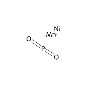 O=[P]=O.[Mn].[Ni]